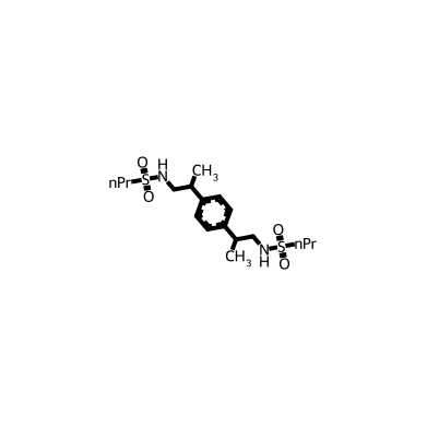 CCCS(=O)(=O)NCC(C)c1ccc(C(C)CNS(=O)(=O)CCC)cc1